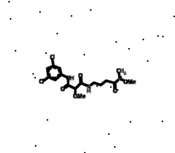 COC(C(=O)NCCCC(=O)N(C)OC)C(=O)Nc1cc(Cl)cc(Cl)c1